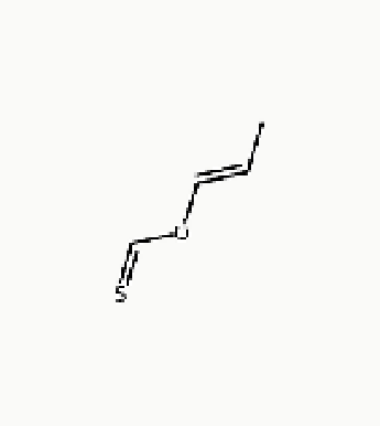 CC=COC=S